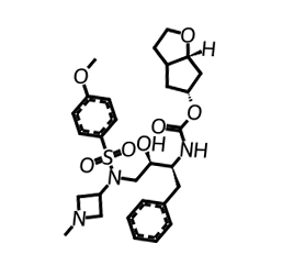 COc1ccc(S(=O)(=O)N(C[C@@H](O)[C@H](Cc2ccccc2)NC(=O)O[C@@H]2CC3CCO[C@@H]3C2)C2CN(C)C2)cc1